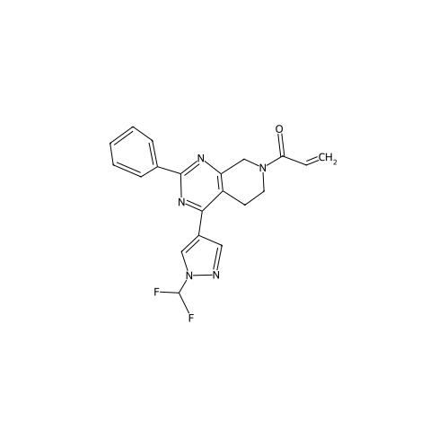 C=CC(=O)N1CCc2c(nc(-c3ccccc3)nc2-c2cnn(C(F)F)c2)C1